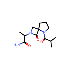 CC(C)C(=O)N1CCCC12CN(C(C)C(N)=O)C2=O